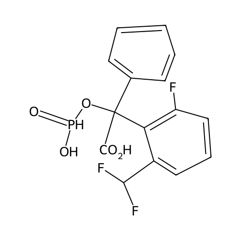 O=C(O)C(O[PH](=O)O)(c1ccccc1)c1c(F)cccc1C(F)F